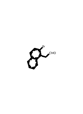 O=CCc1c(Br)ccc2ccccc12